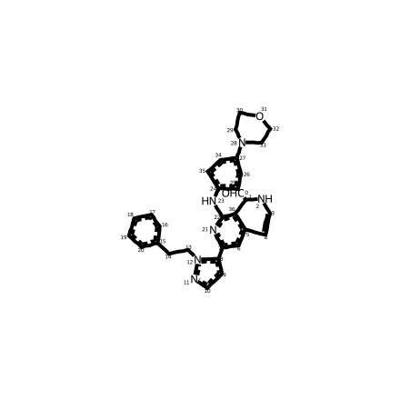 O=CC1NC=Cc2cc(-c3ccnn3CCc3ccccc3)nc(Nc3ccc(N4CCOCC4)cc3)c21